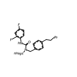 CCCCCCCN(Cc1ccc(CCC(C)C)cc1)C(=O)Nc1ccc(F)cc1F